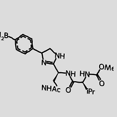 Bc1ccc(C2CNC([C@H](CNC(C)=O)NC(=O)[C@@H](NC(=O)OC)C(C)C)=N2)cc1